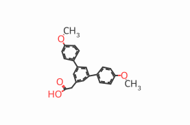 COc1ccc(-c2cc(CC(=O)O)cc(-c3ccc(OC)cc3)c2)cc1